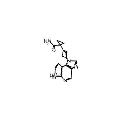 NC(=O)C1(C23CC(n4cnc5cnc6[nH]ccc6c54)(C2)C3)CC1